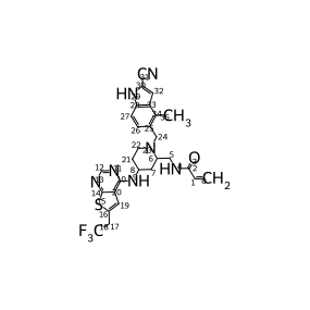 C=CC(=O)NCC1CC(Nc2ncnc3sc(CC(F)(F)F)cc23)CCN1Cc1ccc2[nH]c(C#N)cc2c1C